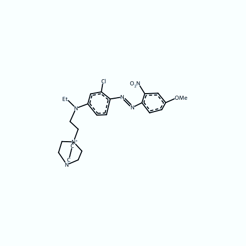 CCN(CC[N+]12CCN(CC1)CC2)c1ccc(N=Nc2ccc(OC)cc2[N+](=O)[O-])c(Cl)c1